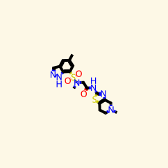 Cc1cc(S(=O)(=O)N(C)CC(=O)Nc2nc3c(s2)CCN(C)C3)c2[nH]ncc2c1